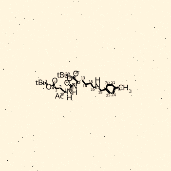 CC(=O)[C@H](CCC(=O)OC(C)(C)C)NC(=O)N[C@@H](CCCCNCc1ccc(C)cc1)C(=O)OC(C)(C)C